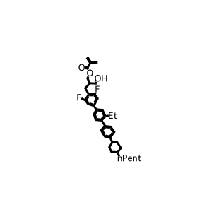 C=C(C)C(=O)OCC(CO)Cc1c(F)cc(-c2ccc(-c3ccc(C4CCC(CCCCC)CC4)cc3)c(CC)c2)cc1F